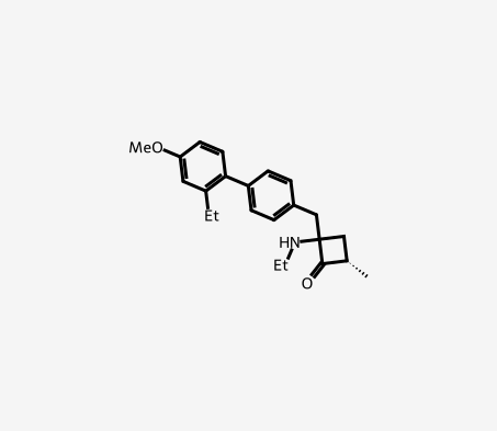 CCNC1(Cc2ccc(-c3ccc(OC)cc3CC)cc2)C[C@H](C)C1=O